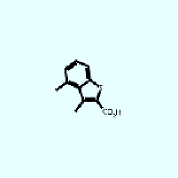 Cc1cccc2sc(C(=O)O)c(C)c12